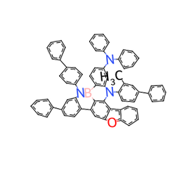 Cc1cc(-c2ccccc2)ccc1N1c2cc(N(c3ccccc3)c3ccccc3)ccc2B2c3c(cc4oc5ccccc5c4c31)-c1ccc(-c3ccccc3)cc1N2c1ccc(-c2ccccc2)cc1